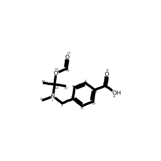 CN(Cc1ccc(C(=O)O)cc1)C(C)(C)OC=O